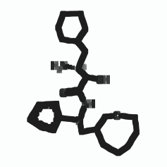 N[C@H](CC1CCCCC1)C(O)C(=O)NN(CC1CCCCCCC1)c1ccccc1